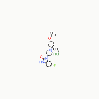 CCOC1CCC(C)(N2CCC(n3c(=O)[nH]c4ccc(F)cc43)CC2)CC1.Cl